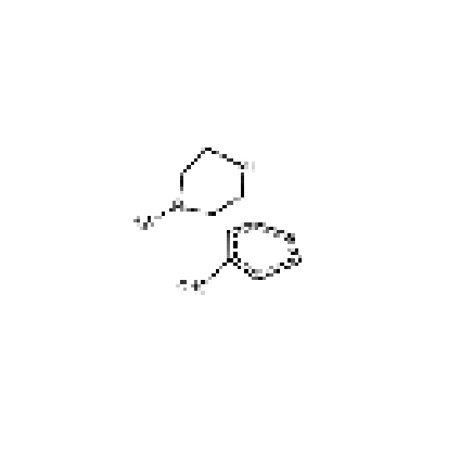 CN1CCNCC1.O=Cc1ccccc1